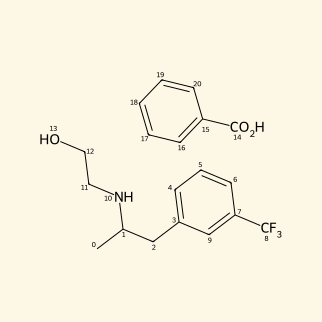 CC(Cc1cccc(C(F)(F)F)c1)NCCO.O=C(O)c1ccccc1